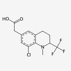 CN1c2c(Cl)cc(CC(=O)O)cc2CCC1C(F)(F)F